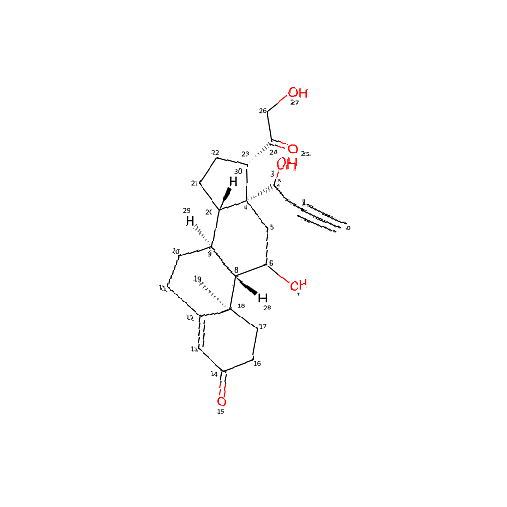 C#CC(O)[C@]12CC(O)[C@H]3[C@@H](CCC4=CC(=O)CC[C@@]43C)[C@@H]1CC[C@@H]2C(=O)CO